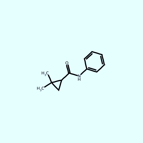 CC1(C)CC1C(=O)Nc1c[c]ccc1